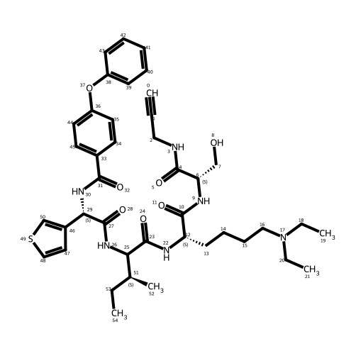 C#CCNC(=O)[C@H](CO)NC(=O)[C@H](CCCCN(CC)CC)NC(=O)C(NC(=O)[C@@H](NC(=O)c1ccc(Oc2ccccc2)cc1)c1ccsc1)[C@@H](C)CC